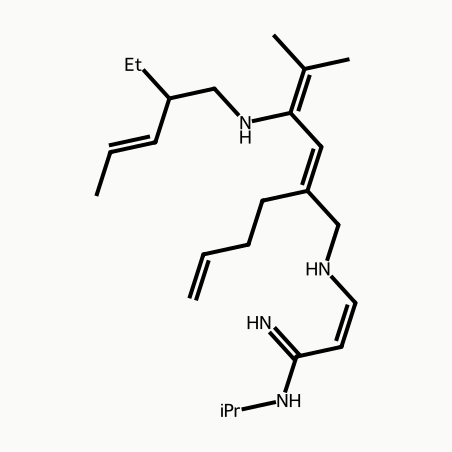 C=CCC/C(=C\C(NCC(C=CC)CC)=C(C)C)CN/C=C\C(=N)NC(C)C